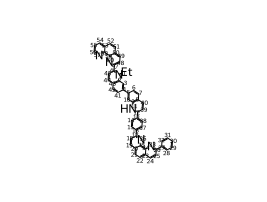 CCN1c2cc(-c3ccc4c(c3)NC(c3ccc(-c5ccc6ccc7ccc(-c8ccccc8)nc7c6n5)cc3)C=C4)ccc2C=CC1c1ccc2ccc3cccnc3c2n1